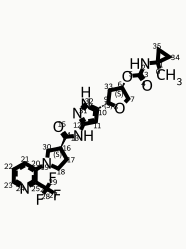 CC1(NC(=O)O[C@@H]2CO[C@H](c3cc(NC(=O)[C@H]4CCN(c5cccnc5C(F)(F)F)C4)n[nH]3)C2)CC1